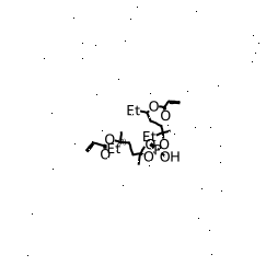 C=CC(=O)OC(CC)CCC(C)(CC)OP(=O)(O)OC(C)(C)CC[C@@](C)(CC)OC(=O)C=C